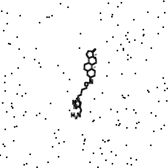 C=C1CCC2C3CCC4CC(=NOCCCCn5cc(CN)nn5)CC[C@]4(C)C3CC[C@]12C